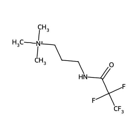 C[N+](C)(C)CCCNC(=O)C(F)(F)C(F)(F)F